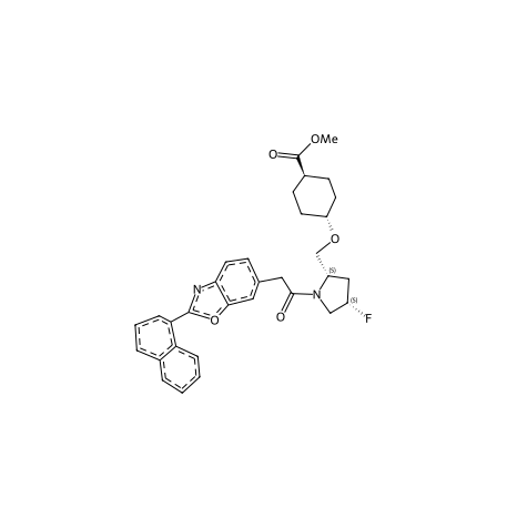 COC(=O)[C@H]1CC[C@H](OC[C@@H]2C[C@H](F)CN2C(=O)Cc2ccc3nc(-c4cccc5ccccc45)oc3c2)CC1